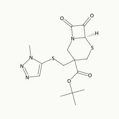 Cn1nncc1SCC1(C(=O)OC(C)(C)C)CS[C@@H]2C(=O)C(=O)N2C1